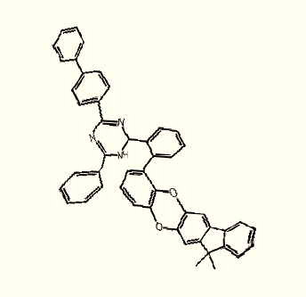 CC1(C)c2ccccc2-c2cc3c(cc21)Oc1cccc(-c2ccccc2C2N=C(c4ccc(-c5ccccc5)cc4)N=C(c4ccccc4)N2)c1O3